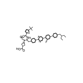 CCC(CC)Cc1ccc(-c2ccc(-c3cnc(-c4ccc(C[C@H](NC(=O)c5ccc(C(C)(C)C)s5)C(=C=O)N5CC(C(=O)O)C5)cc4)nc3)c(F)c2)cc1